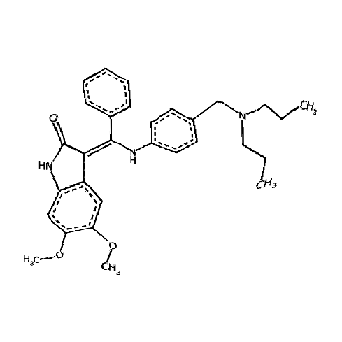 CCCN(CCC)Cc1ccc(NC(=C2C(=O)Nc3cc(OC)c(OC)cc32)c2ccccc2)cc1